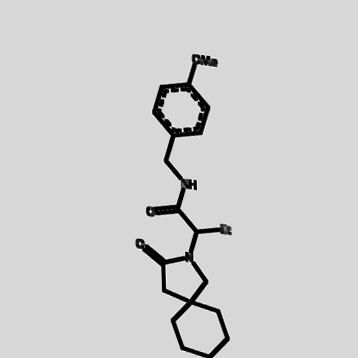 CCC(C(=O)NCc1ccc(OC)cc1)N1CC2(CCCCC2)CC1=O